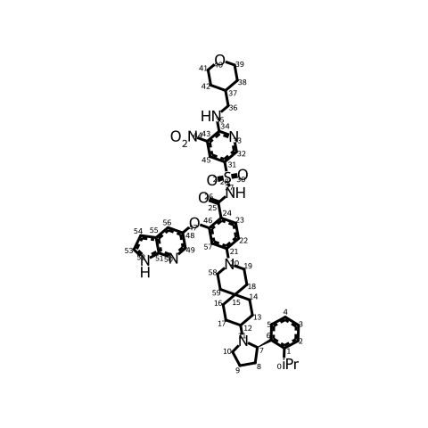 CC(C)c1ccccc1[C@H]1CCCN1C1CCC2(CC1)CCN(c1ccc(C(=O)NS(=O)(=O)c3cnc(NCC4CCOCC4)c([N+](=O)[O-])c3)c(Oc3cnc4[nH]ccc4c3)c1)CC2